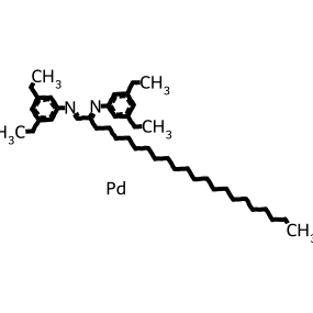 CCCCCCCCCCCCCCCCCCCCCC(C=Nc1cc(CC)cc(CC)c1)=Nc1cc(CC)cc(CC)c1.[Pd]